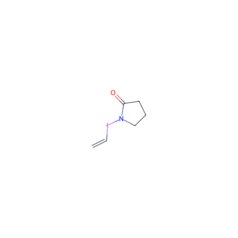 C=C[I]N1CCCC1=O